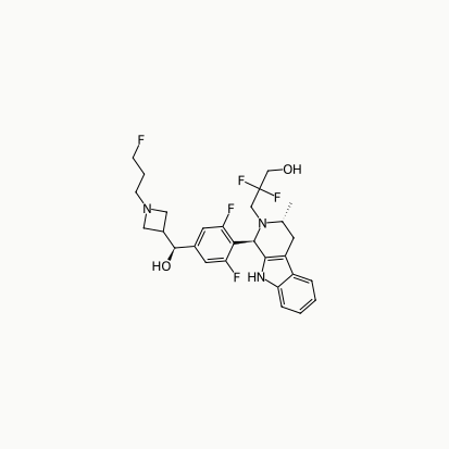 C[C@@H]1Cc2c([nH]c3ccccc23)[C@@H](c2c(F)cc([C@@H](O)C3CN(CCCF)C3)cc2F)N1CC(F)(F)CO